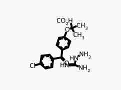 CC(C)(Oc1ccc(C(=O)c2ccc(Cl)cc2)cc1)C(=O)O.N=C(N)NN